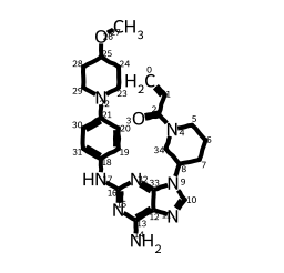 C=CC(=O)N1CCCC(n2cnc3c(N)nc(Nc4ccc(N5CCC(OC)CC5)cc4)nc32)C1